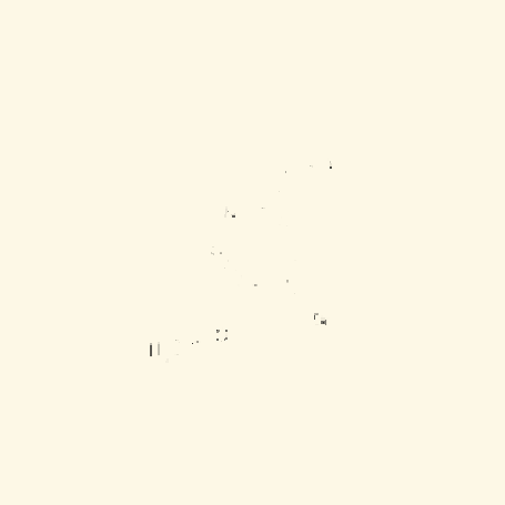 COc1cnc(CBr)cc1Br